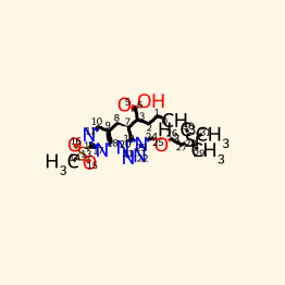 CCCC(C(=O)O)[C@H](Cc1cnc(S(C)(=O)=O)nc1)c1nnnn1COCC[Si](C)(C)C